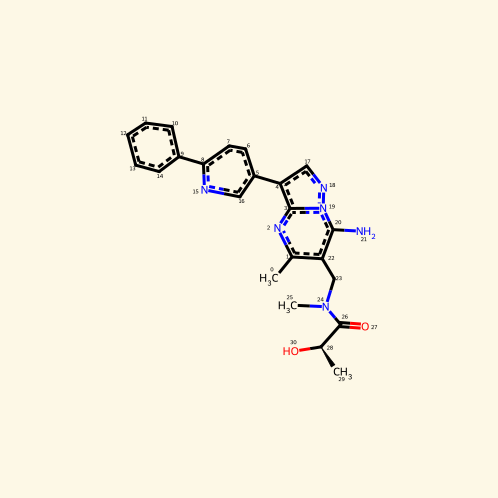 Cc1nc2c(-c3ccc(-c4ccccc4)nc3)cnn2c(N)c1CN(C)C(=O)[C@@H](C)O